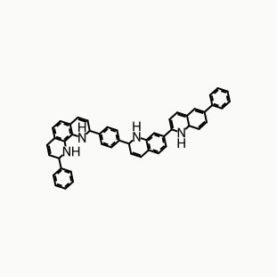 C1=CC2NC(c3ccc4c(c3)NC(c3ccc(C5C=Cc6ccc7c(c6N5)NC(c5ccccc5)C=C7)cc3)C=C4)=CC=C2C=C1c1ccccc1